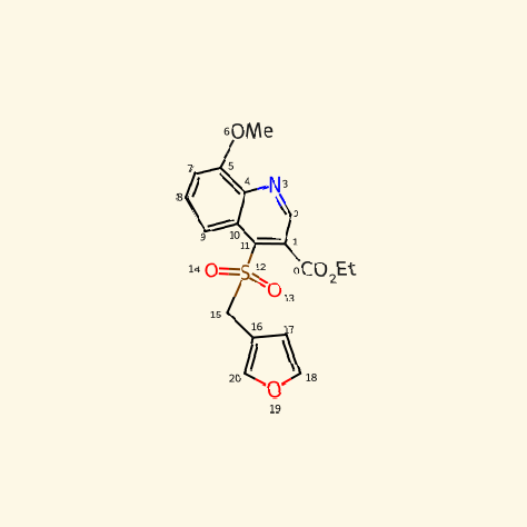 CCOC(=O)c1cnc2c(OC)cccc2c1S(=O)(=O)Cc1ccoc1